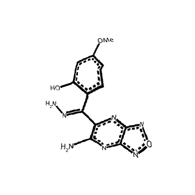 COc1ccc(C(=NN)c2nc3nonc3nc2N)c(O)c1